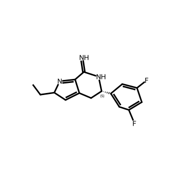 CCC1C=C2C[C@@H](c3cc(F)cc(F)c3)NC(=N)C2=N1